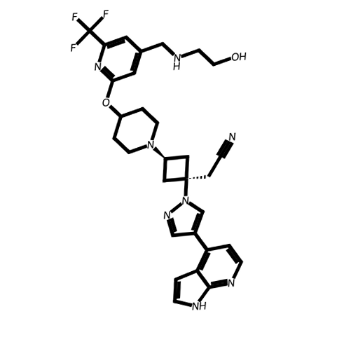 N#CC[C@]1(n2cc(-c3ccnc4[nH]ccc34)cn2)C[C@@H](N2CCC(Oc3cc(CNCCO)cc(C(F)(F)F)n3)CC2)C1